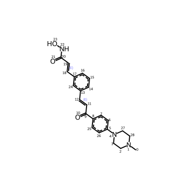 CN1CCN(c2ccc(C(=O)/C=C/c3cccc(/C=C/C(=O)NO)c3)cc2)CC1